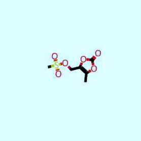 Cc1oc(=O)oc1COS(C)(=O)=O